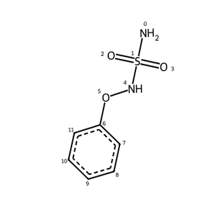 NS(=O)(=O)NOc1ccccc1